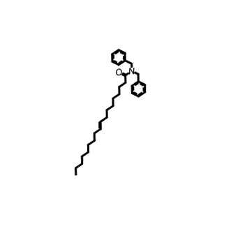 CCCCCCCCC=CCCCCCCCC(=O)N(Cc1ccccc1)Cc1ccccc1